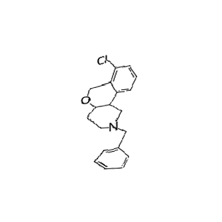 Clc1cccc2c1COC1CCN(Cc3ccccc3)CC21